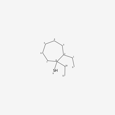 CCC1CCCCCC1(S)CC